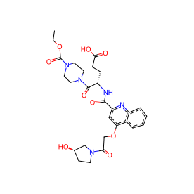 CCOC(=O)N1CCN(C(=O)[C@H](CCC(=O)O)NC(=O)c2cc(OCC(=O)N3CC[C@@H](O)C3)c3ccccc3n2)CC1